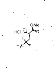 COC(=O)C(N)CC(C)(F)F.Cl